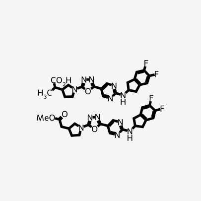 CC(C(=O)O)C1CCN(c2nnc(-c3cnc(NC4Cc5cc(F)c(F)cc5C4)nc3)o2)C1.COC(=O)CC1CCN(c2nnc(-c3cnc(NC4Cc5cc(F)c(F)cc5C4)nc3)o2)C1